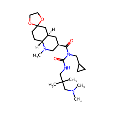 CN(C)CC(C)(C)CNC(=O)N(CC1CC1)C(=O)[C@@H]1C[C@@H]2CC3(CC[C@H]2N(C)C1)OCCO3